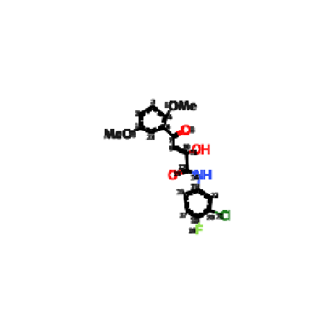 COc1ccc(OC)c(C(=O)/C=C(\O)C(=O)Nc2ccc(F)c(Cl)c2)c1